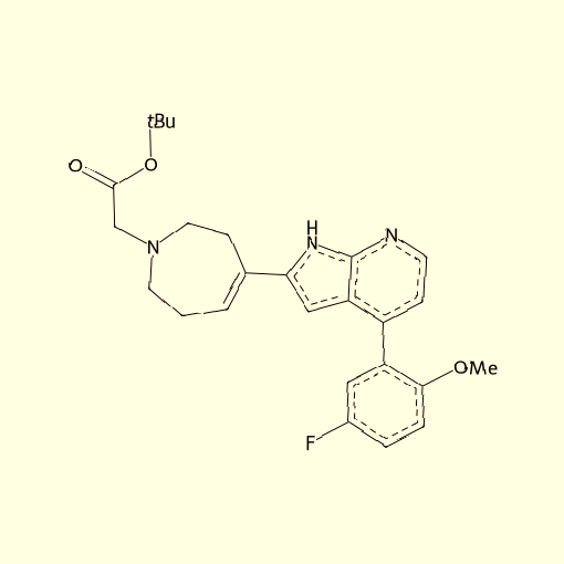 COc1ccc(F)cc1-c1ccnc2[nH]c(C3=CCCN(CC(=O)OC(C)(C)C)CC3)cc12